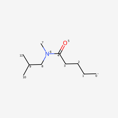 [CH2]CCCC(=O)N(C)CC(C)C